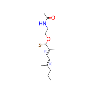 CCC/C(C)=C/C=C(\C)C(=S)OCCNC(C)=O